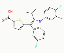 Cc1cc(-n2c(C(C)C)c(-c3ccc(C(=O)O)s3)c3cc(F)ccc32)ccc1F